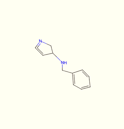 C1=CC(NCc2ccccc2)CN=1